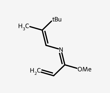 C=C/C(=N\C=C(\C)C(C)(C)C)OC